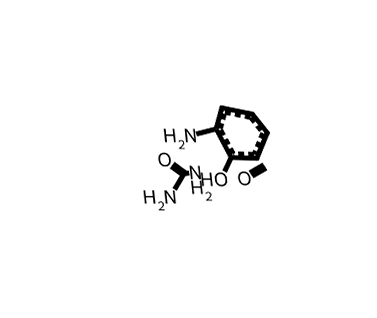 C=O.NC(N)=O.Nc1ccccc1O